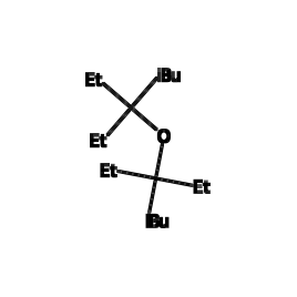 CCC(C)C(CC)(CC)OC(CC)(CC)C(C)CC